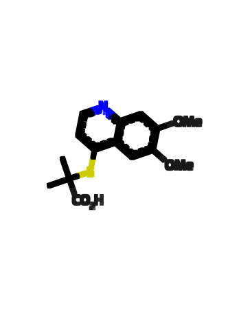 COc1cc2nccc(SC(C)(C)C(=O)O)c2cc1OC